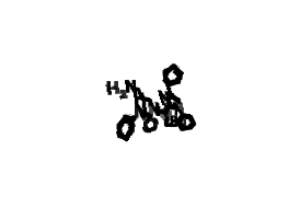 CC(C)(C)[C@H](c1nc(-c2ccccc2)cn1-c1ccccc1)N(CCCN)C(=O)Nc1ccccc1